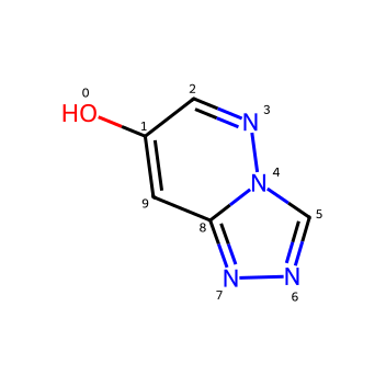 Oc1cnn2cnnc2c1